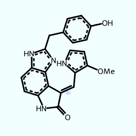 COc1cc[nH]c1/C=C1/C(=O)Nc2ccc3[nH]c(Cc4ccc(O)cc4)nc3c21